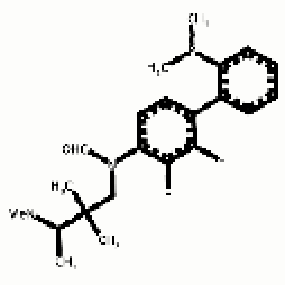 CNC(C)C(C)(C)CN(C=O)c1ccc(-c2ccccc2P(C)C)c(F)c1F